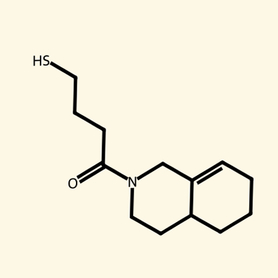 O=C(CCCS)N1CCC2CCCC=C2C1